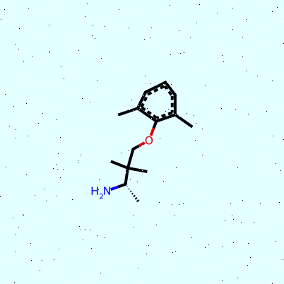 Cc1cccc(C)c1OCC(C)(C)[C@H](C)N